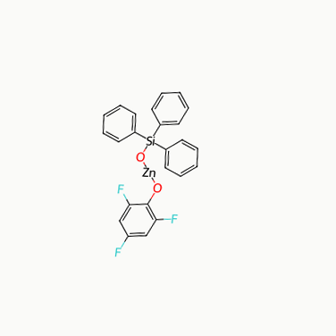 Fc1cc(F)c([O][Zn][O][Si](c2ccccc2)(c2ccccc2)c2ccccc2)c(F)c1